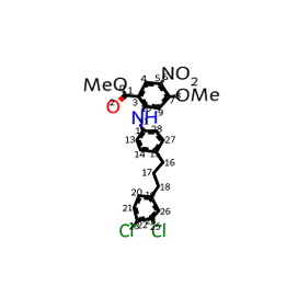 COC(=O)c1cc([N+](=O)[O-])c(OC)cc1Nc1ccc(CCCc2ccc(Cl)c(Cl)c2)cc1